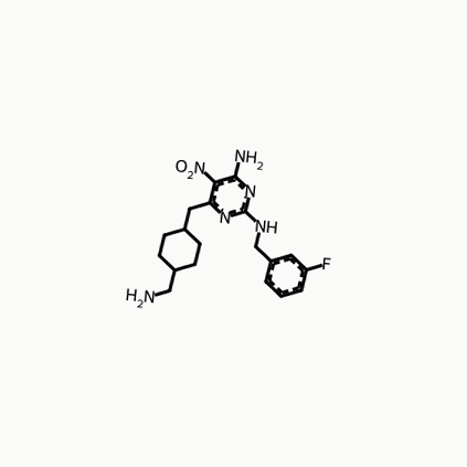 NCC1CCC(Cc2nc(NCc3cccc(F)c3)nc(N)c2[N+](=O)[O-])CC1